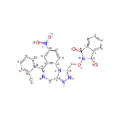 O=C1c2ccccc2C(=O)N1OCc1nnc2n1-c1ccc([N+](=O)[O-])cc1C(c1ccccc1Cl)=NC2